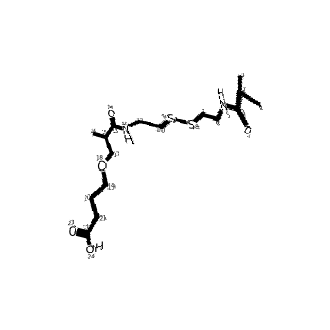 CC(C)C(=O)NCCSSCCNC(=O)C(C)COCCCC(=O)O